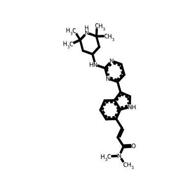 CN(C)C(=O)C=Cc1cccc2c(-c3ccnc(NC4CC(C)(C)NC(C)(C)C4)n3)c[nH]c12